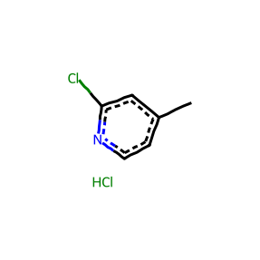 Cc1ccnc(Cl)c1.Cl